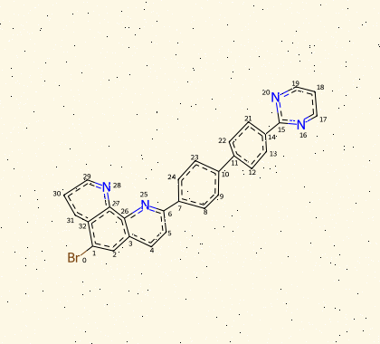 Brc1cc2ccc(-c3ccc(-c4ccc(-c5ncccn5)cc4)cc3)nc2c2ncccc12